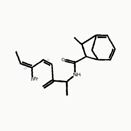 C=C(/C=C\C(=C/C)CCC)C(C)NC(=O)C1C2C=CC=C(C2)C1C